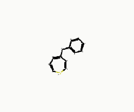 C1=CSC=CC(Cc2ccccc2)=C1